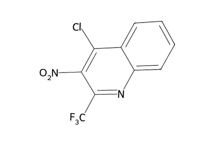 O=[N+]([O-])c1c(C(F)(F)F)nc2ccccc2c1Cl